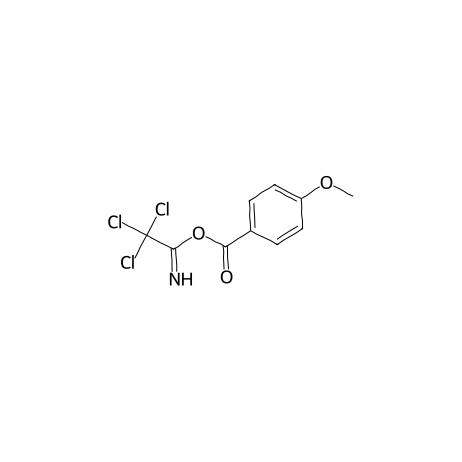 COc1ccc(C(=O)OC(=N)C(Cl)(Cl)Cl)cc1